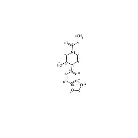 CCC(=O)N1CCC(c2ccc3c(c2)OCO3)C(O)C1